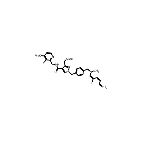 C=C/C=C\C(F)=C/N(C)Cc1ccc(Cn2cc(C(=O)NCc3nccc(OC)c3F)c(COC)n2)cc1